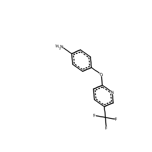 Nc1ccc(Oc2ccc(C(F)(F)F)cn2)cc1